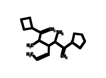 C=C(C1CCC1)C(C)C(/C=C\C)C(N)C(=C)N1CCCC1